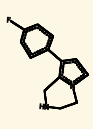 Fc1ccc(-c2ccn3c2CNCC3)cc1